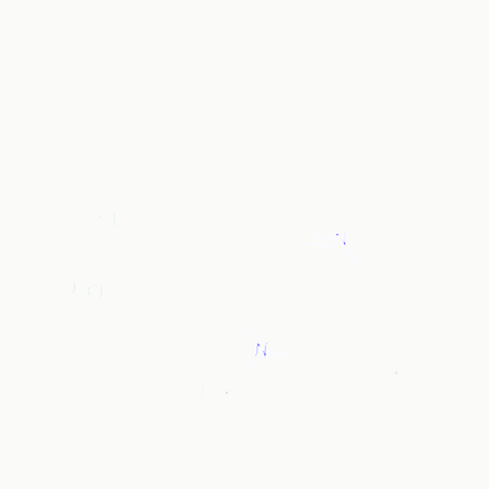 CN1CC(Cl)CN=C(c2ccccc2)c2cc(Cl)ccc21.Cl